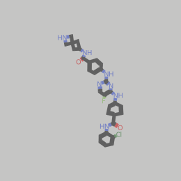 O=C(Nc1ccccc1Cl)c1ccc(Nc2nc(Nc3ccc(C(=O)NC4CC5(CNC5)C4)cc3)ncc2F)cc1